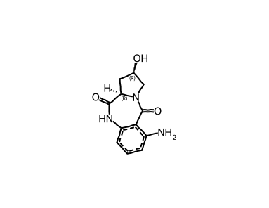 Nc1cccc2c1C(=O)N1C[C@H](O)C[C@@H]1C(=O)N2